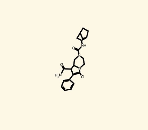 NC(=O)C1C(c2ccccc2)=C(Cl)N2CCN(C(=O)NC3CC4CCC3C4)CC12